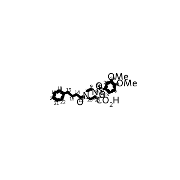 COc1ccc(S(=O)(=O)N2CCN(C(=O)CCCc3ccccc3)C[C@H]2C(=O)O)cc1OC